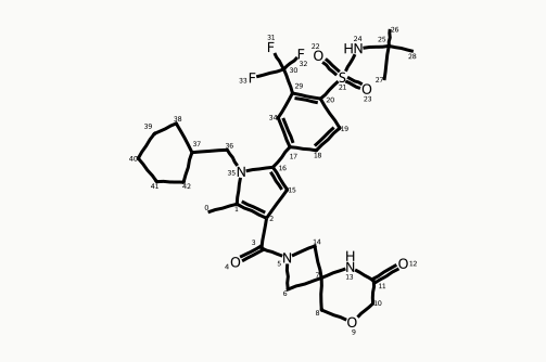 Cc1c(C(=O)N2CC3(COCC(=O)N3)C2)cc(-c2ccc(S(=O)(=O)NC(C)(C)C)c(C(F)(F)F)c2)n1CC1CCCCC1